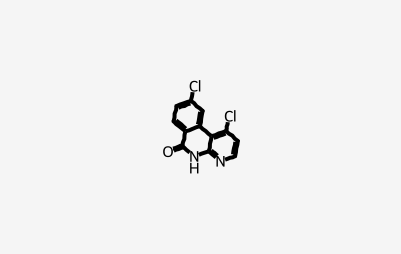 O=c1[nH]c2nccc(Cl)c2c2cc(Cl)ccc12